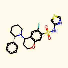 O=S(=O)(Nc1cscn1)c1cc2c(cc1F)[C@H](N1CCCC[C@H]1c1ccccc1)CCO2